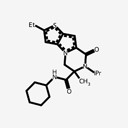 CCc1cc2c(cc3n2CC(C)(C(=O)NC2CCCCC2)N(C(C)C)C3=O)s1